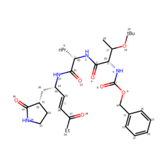 CCC[C@H](NC(=O)[C@@H](NC(=O)OCc1ccccc1)C(C)OC(C)(C)C)C(=O)N[C@H](/C=C/C(=O)CC)C[C@@H]1CCNC1=O